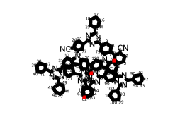 N#Cc1ccccc1-c1ccc(-c2nc(-c3ccccc3)nc(-c3ccc(C#N)c(-n4c5ccc(-c6nc(-c7ccccc7)nc(-c7ccccc7)n6)cc5c5cc(-c6nc(-c7ccccc7)nc(-c7ccccc7)n6)ccc54)c3)n2)cc1-n1c2ccc(-c3nc(-c4ccccc4)nc(-c4ccccc4)n3)cc2c2cc(-c3nc(-c4ccccc4)nc(-c4ccccc4)n3)ccc21